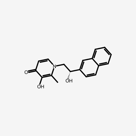 Cc1c(O)c(=O)ccn1C[C@@H](O)c1ccc2ccccc2c1